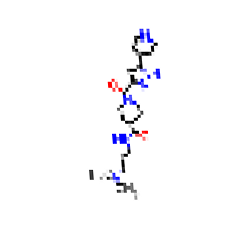 CN(C)CCCNC(=O)C1CCN(C(=O)c2cc(-c3ccncc3)[nH]n2)CC1